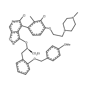 CCOC(=O)[C@@H](Cc1ccccc1OCc1ccc(OC)cc1)Oc1nsc2cnc(Cl)c(-c3ccc(OCCN4CCN(C)CC4)c(Cl)c3C)c12